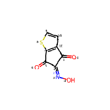 O=c1/c(=N\O)c(=O)c2sccc12